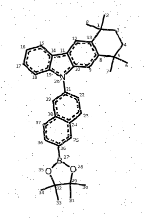 CC1(C)CCC(C)(C)c2cc3c(cc21)c1ccccc1n3-c1ccc2cc(B3OC(C)(C)C(C)(C)O3)ccc2c1